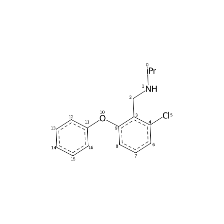 CC(C)NCc1c(Cl)cccc1Oc1ccccc1